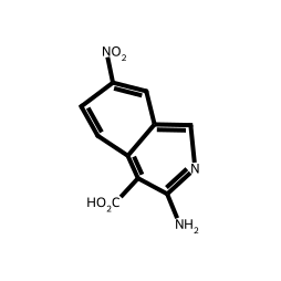 Nc1ncc2cc([N+](=O)[O-])ccc2c1C(=O)O